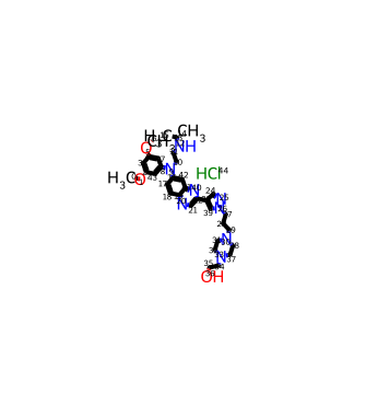 COc1cc(OC)cc(N(CCNC(C)C)c2ccc3ncc(-c4cnn(CCCN5CCN(CCO)CC5)c4)nc3c2)c1.Cl